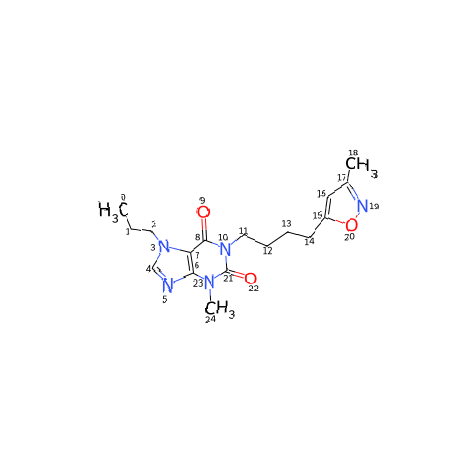 CCCn1cnc2c1c(=O)n(CCCCc1cc(C)no1)c(=O)n2C